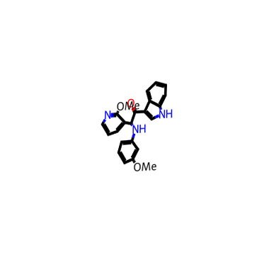 COc1cccc(NC(C(=O)c2c[nH]c3ccccc23)c2cccnc2OC)c1